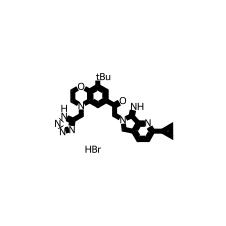 Br.CC(C)(C)c1cc(C(=O)CN2Cc3ccc(C4CC4)nc3C2=N)cc2c1OCCN2Cc1nnn[nH]1